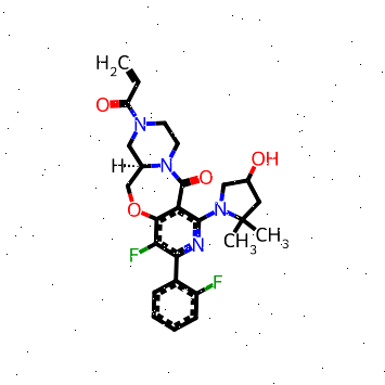 C=CC(=O)N1CCN2C(=O)c3c(N4CC(O)CC4(C)C)nc(-c4ccccc4F)c(F)c3OC[C@H]2C1